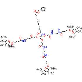 CC(=O)NC1C(OCCCCC(=O)NCCCCC(=O)CCOCC(COCCC(=O)NCCCNC(=O)CCCCOC2OC(COC(C)=O)C(OC(C)=O)C(OC(C)=O)C2NC(C)=O)(COCCC(=O)NCCCNC(=O)CCCCOC2OC(COC(C)=O)C(OC(C)=O)C(OC(C)=O)C2NC(C)=O)NC(=O)CCCCCCCCCCC(=O)OCc2ccccc2)OC(COC(C)=O)C(OC(C)=O)C1OC(C)=O